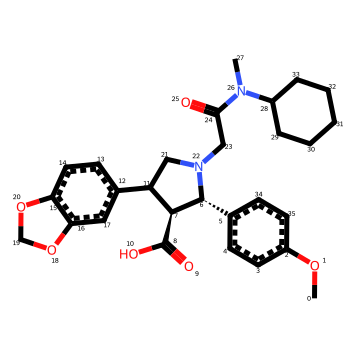 COc1ccc([C@@H]2[C@@H](C(=O)O)C(c3ccc4c(c3)OCO4)CN2CC(=O)N(C)C2CCCCC2)cc1